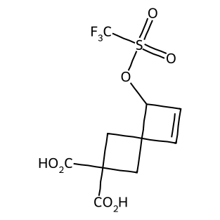 O=C(O)C1(C(=O)O)CC2(C=CC2OS(=O)(=O)C(F)(F)F)C1